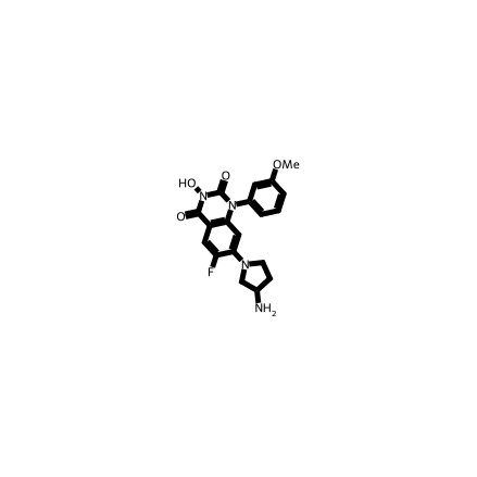 COc1cccc(-n2c(=O)n(O)c(=O)c3cc(F)c(N4CCC(N)C4)cc32)c1